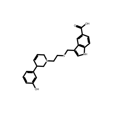 O=C(O)c1ccc2[nH]cc(CSCCN3CC=CC(c4cccc(O)c4)C3)c2c1